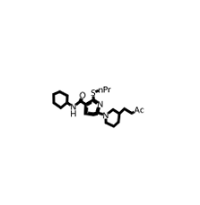 CCCSc1nc(N2CCCC(CCC(C)=O)C2)ccc1C(=O)NC1CCCCC1